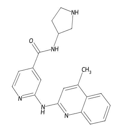 Cc1cc(Nc2cc(C(=O)NC3CCNC3)ccn2)nc2ccccc12